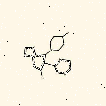 CC1CCN(c2c(-c3cnccn3)c(Cl)nc3ncnn23)CC1